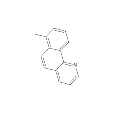 Cc1cccc2c1ccc1cccnc12